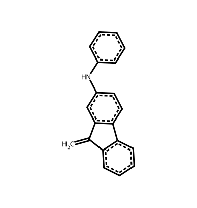 C=C1c2ccccc2-c2ccc(Nc3ccccc3)cc21